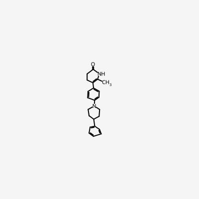 CC1=C(c2ccc(N3CCC(c4ccccc4)CC3)cc2)CCC(=O)N1